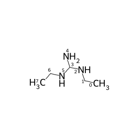 CCNC(N)NCC